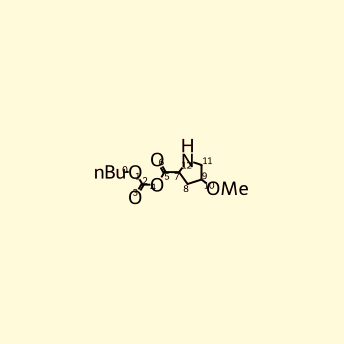 CCCCOC(=O)OC(=O)C1CC(OC)CN1